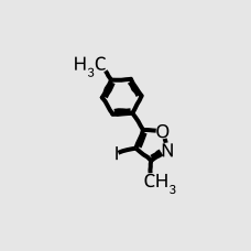 Cc1ccc(-c2onc(C)c2I)cc1